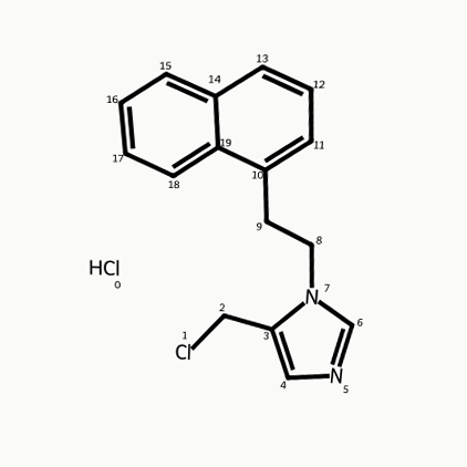 Cl.ClCc1cncn1CCc1cccc2ccccc12